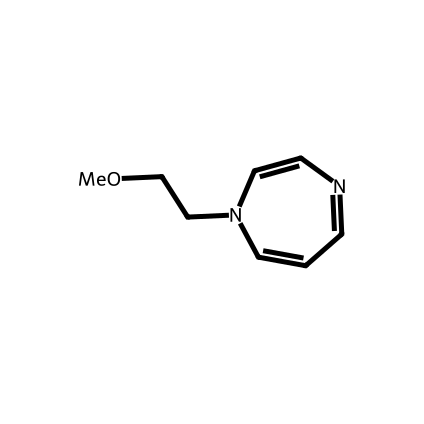 COCCN1C=CC=NC=C1